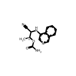 C[C@H](OC(N)=O)C(C#N)Nc1cncc2ccccc12